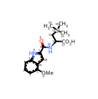 COc1cccc2[nH]c(C(=O)NC(C[Si](C)(C)C)C(=O)O)cc12